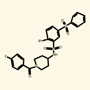 CC(C)c1ccc(S(=O)(=O)c2ccccc2)cc1S(=O)(=O)NC1CCN(C(=O)c2ccc(F)cc2)CC1